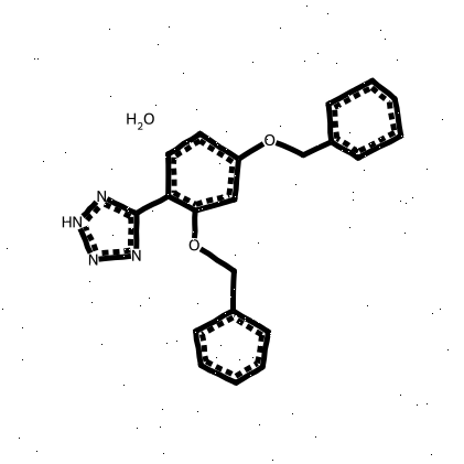 O.c1ccc(COc2ccc(-c3nn[nH]n3)c(OCc3ccccc3)c2)cc1